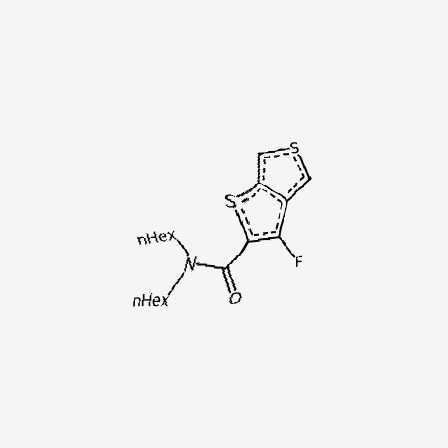 CCCCCCN(CCCCCC)C(=O)c1sc2cscc2c1F